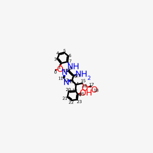 COc1ccccc1Nc1ncnc(C(COC=O)c2ccccc2O)c1N